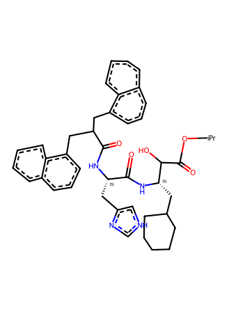 CC(C)OC(=O)C(O)[C@H](CC1CCCCC1)NC(=O)[C@H](Cc1c[nH]cn1)NC(=O)C(Cc1cccc2ccccc12)Cc1cccc2ccccc12